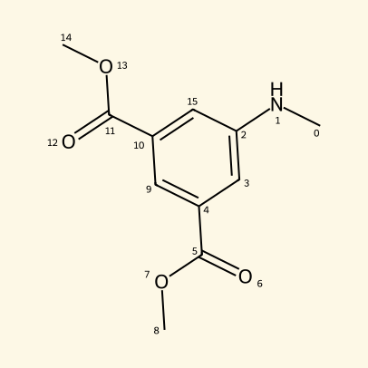 CNc1cc(C(=O)OC)cc(C(=O)OC)c1